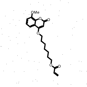 C=CC(=O)OCCCCCCCOc1cc(=O)oc2c(OC)cccc12